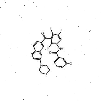 O=C(Nc1cc(F)c(F)c(C(=O)c2ccc3ncc(N4CCOCC4)cc3c2)c1F)c1cccc(Cl)c1